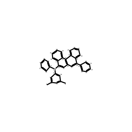 Cc1cc(C)cc(N(c2ccccc2)c2cc3cc(-c4ccccc4)c4ccccc4c3c3ccccc23)c1